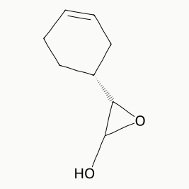 OC1OC1[C@H]1CC=CCC1